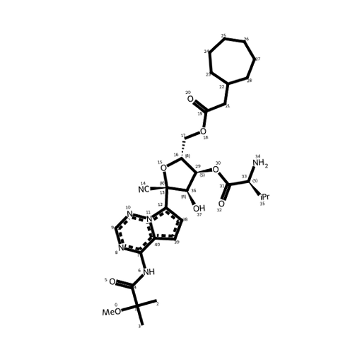 COC(C)(C)C(=O)Nc1ncnn2c([C@]3(C#N)O[C@H](COC(=O)CC4CCCCCC4)[C@@H](OC(=O)[C@@H](N)C(C)C)[C@H]3O)ccc12